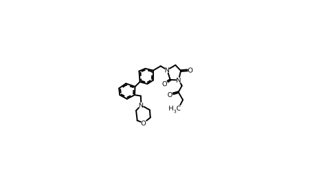 CCC(=O)CN1C(=O)CN(Cc2ccc(-c3ccccc3CN3CCOCC3)cc2)C1=O